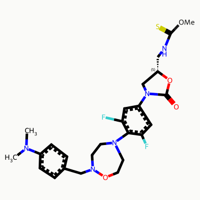 COC(=S)NC[C@H]1CN(c2cc(F)c(N3CCON(Cc4ccc(N(C)C)cc4)CC3)c(F)c2)C(=O)O1